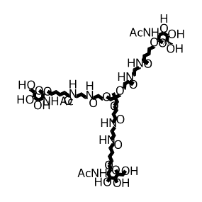 CC(=O)NC1C(OCCCCC(=O)NCCCNC(=O)CCOCC(C)(COCCC(=O)NCCCNC(=O)CCCCOC2OC(CO)C(O)C(O)C2NC(C)=O)COCCC(=O)NCCCNC(=O)CCCCOC2O[C@H](CO)C(O)C(O)C2NC(C)=O)OC(CO)C(O)C1O